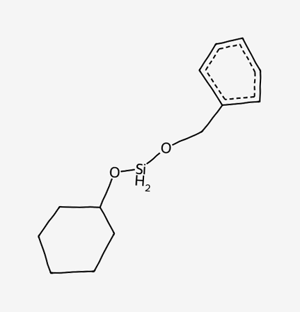 c1ccc(CO[SiH2]OC2CCCCC2)cc1